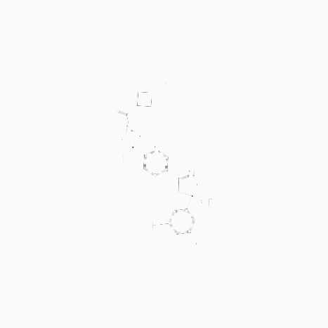 O=C(C1C[S+]([O-])C1)N1CC(F)(c2ccc(C3=NOC(c4cc(F)cc(Cl)c4)(C(F)(F)F)C3)cn2)C1